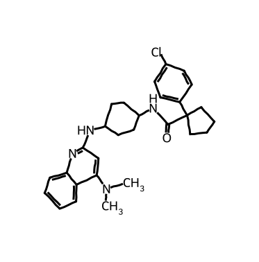 CN(C)c1cc(NC2CCC(NC(=O)C3(c4ccc(Cl)cc4)CCCC3)CC2)nc2ccccc12